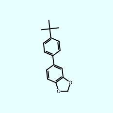 CC(C)(C)c1ccc(-c2ccc3c(c2)OCO3)cc1